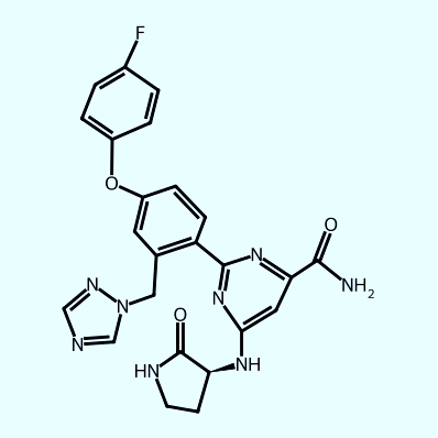 NC(=O)c1cc(N[C@H]2CCNC2=O)nc(-c2ccc(Oc3ccc(F)cc3)cc2Cn2cncn2)n1